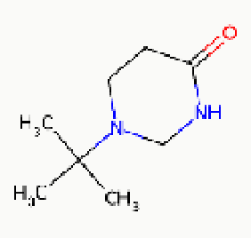 CC(C)(C)N1CCC(=O)NC1